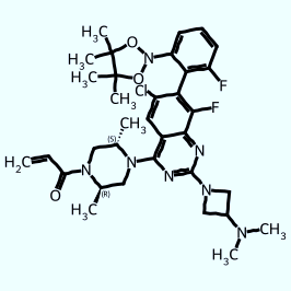 C=CC(=O)N1C[C@H](C)N(c2nc(N3CC(N(C)C)C3)nc3c(F)c(-c4c(F)cccc4N4OC(C)(C)C(C)(C)O4)c(Cl)cc23)C[C@H]1C